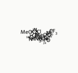 COc1cnc(Cl)cc1-c1cc(C)ncc1C(=O)Nc1nc2c(s1)C(C)N(C(=O)c1ccc(C(F)(F)F)nc1OC)C2